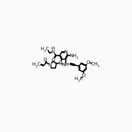 C=CC(=O)N1CCC(N2N[C@@H](C#Cc3cc(OC)cc(OC)c3)c3c(N)ncc(C(=O)NCC)c32)C1